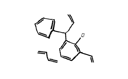 C=CC=C.C=Cc1cccc(C(C=C)c2ccccc2)c1Cl